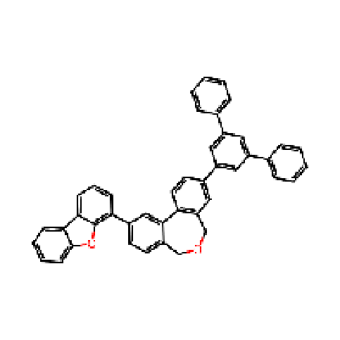 c1ccc(-c2cc(-c3ccccc3)cc(-c3ccc4c(c3)COCc3ccc(-c5cccc6c5oc5ccccc56)cc3-4)c2)cc1